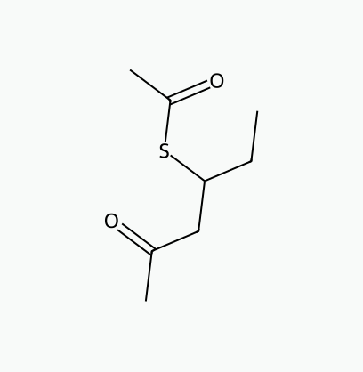 CCC(CC(C)=O)SC(C)=O